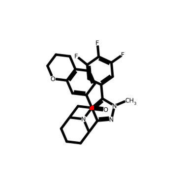 Cn1nc2c(c1-c1cc(F)c(F)c(F)c1)CC1CCCC2N1C(=O)c1cnc2c(c1)OCCC2